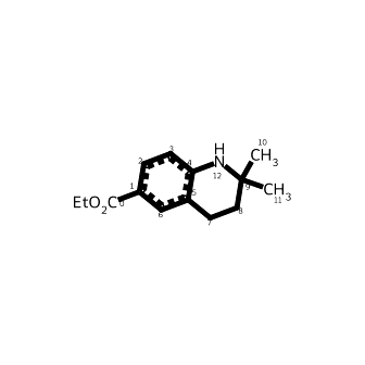 CCOC(=O)c1ccc2c(c1)CCC(C)(C)N2